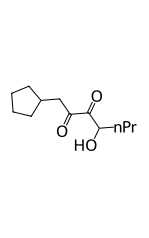 CCCC(O)C(=O)C(=O)CC1CCCC1